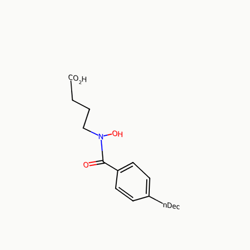 CCCCCCCCCCc1ccc(C(=O)N(O)CCCC(=O)O)cc1